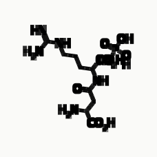 N=C(N)NCCCC(NC(=O)CC(N)C(=O)O)C(=O)O.O=P(O)(O)O